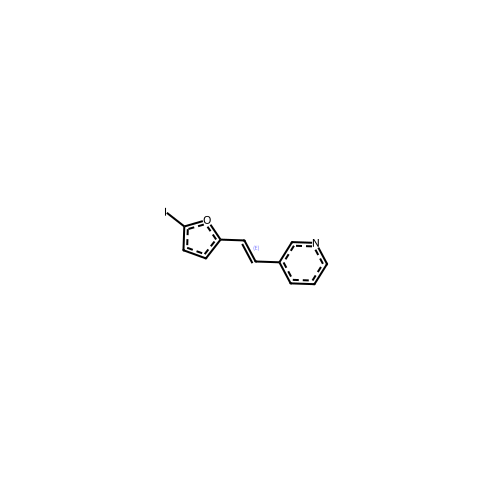 Ic1ccc(/C=C/c2cccnc2)o1